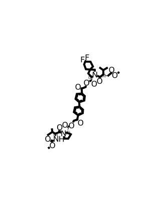 COC(=O)C[C@H](C(=O)N1CC2(CCC(F)(F)CC2)C[C@H]1C(=O)OCC(=O)c1ccc(-c2ccc(C(=O)COC(=O)[C@@H]3CCCN3C(=O)[C@@H](NC(=O)OC)C(C)C)cc2)cc1)C(C)C